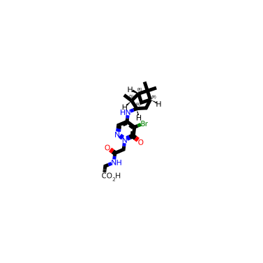 C[C@H]1[C@H]2C[C@H](C[C@H]1Nc1cnn(CC(=O)NCC(=O)O)c(=O)c1Br)C2(C)C